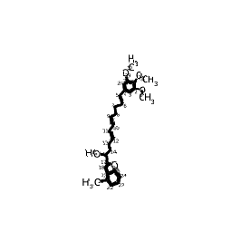 COc1cc(C=CCCC=CC=CCCC(O)c2cc3c(C)cccc3o2)cc(OC)c1OC